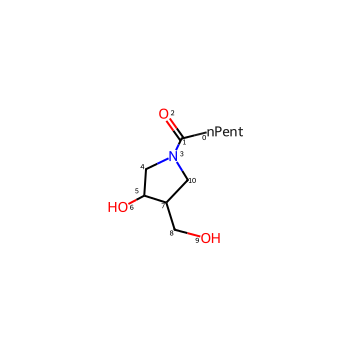 CCCCCC(=O)N1CC(O)C(CO)C1